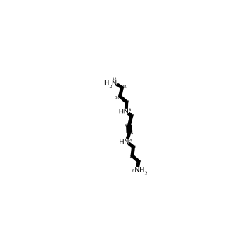 NCCCNC#CCNCCCN